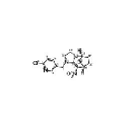 O=[N+]([O-])C1=C2N(Cc3ccc(Cl)nc3)CCN2[C@@H]2CC[C@H]1O2